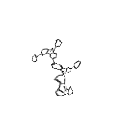 c1ccc(-c2ccc3c(c2)c2cc(-c4ccc5c(c4)c4cc(-c6ccccc6)ccc4n5-c4ccc5c6cccc7c8ccccc8n(c5c4)c76)ccc2n3-c2ccccc2)cc1